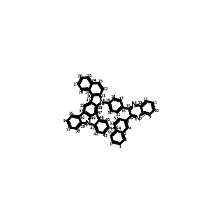 c1ccc2cc(-c3nc4ccccc4nc3-c3ccc(-n4c5ccc6ccccc6c5c5cc6c7ccccc7n7c8ccccc8c(c54)c67)cc3)ccc2c1